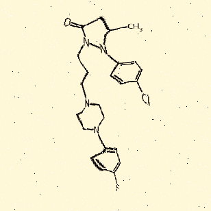 CC1CC(=O)N(CCCN2CCN(c3ccc(F)cc3)CC2)N1c1ccc(Cl)cc1